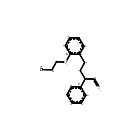 O=CC(CCc1ccccc1OCCCl)c1ccccc1